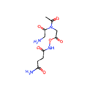 CC(=O)N(CC(=O)ONC(=O)CCC(N)=O)C(=O)CN